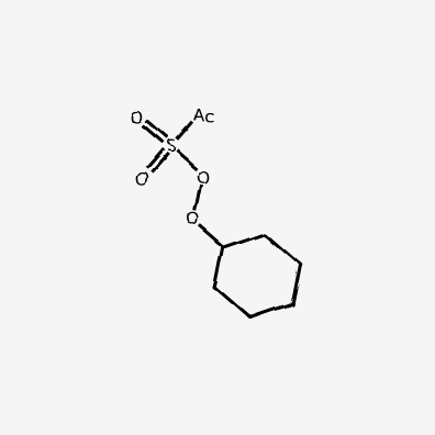 CC(=O)S(=O)(=O)OOC1CCCCC1